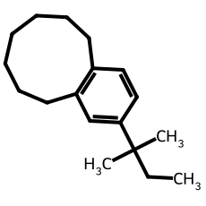 CCC(C)(C)c1ccc2c(c1)CCCCCCC2